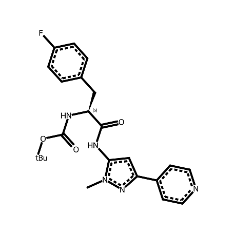 Cn1nc(-c2ccncc2)cc1NC(=O)[C@H](Cc1ccc(F)cc1)NC(=O)OC(C)(C)C